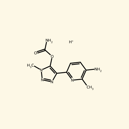 Cc1nc(-c2nnn(C)c2OC(N)=O)ccc1N.[H+]